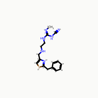 C/N=C(\NC#N)NCCNCc1csc(Cc2ccccc2)n1